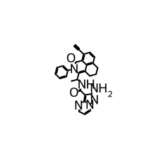 C#Cc1ccc2c3c(c(C(C)NC(=O)c4c(N)nn5cccnc45)n(-c4ccccc4)c(=O)c13)CCC2